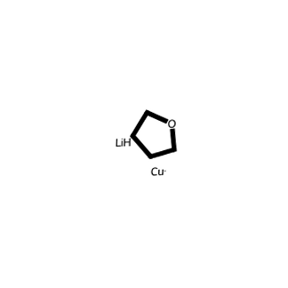 C1CCOC1.[Cu].[LiH]